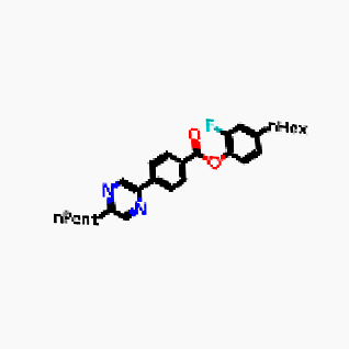 CCCCCCc1ccc(OC(=O)c2ccc(-c3cnc(CCCCC)cn3)cc2)c(F)c1